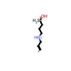 C=CCNCCC[SiH2]O